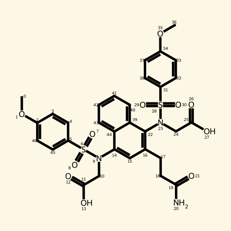 COc1ccc(S(=O)(=O)N(CC(=O)O)c2cc(CCC(N)=O)c(N(CC(=O)O)S(=O)(=O)c3ccc(OC)cc3)c3ccccc23)cc1